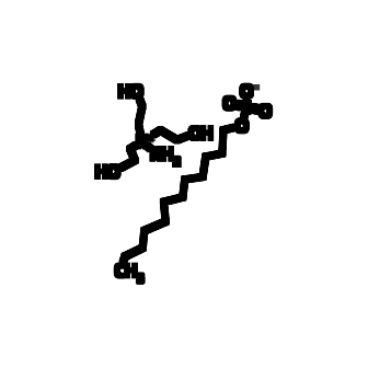 CCCCCCCCCCCCOS(=O)(=O)[O-].N[N+](CCO)(CCO)CCO